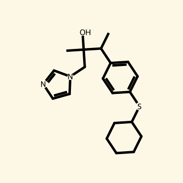 CC(c1ccc(SC2CCCCC2)cc1)C(C)(O)Cn1ccnc1